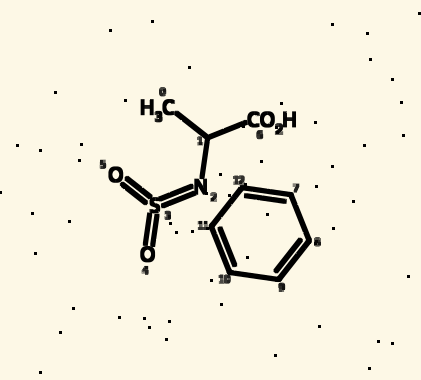 CC(N=S(=O)=O)C(=O)O.c1ccccc1